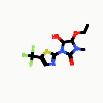 CCOC1C(O)N(c2ncc(C(F)(F)F)s2)C(=O)N1C